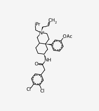 C=CC[N@@+]1(CC(C)C)CC[C@]2(c3cccc(OC(C)=O)c3)C[C@@H](NC(=O)Cc3ccc(Cl)c(Cl)c3)CCC2C1